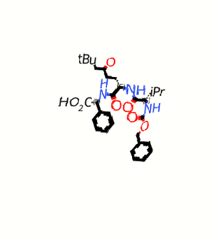 CC(C)[C@H](NC(=O)OCc1ccccc1)C(=O)N[C@@H](CCC(=O)CC(C)(C)C)C(=O)N[C@@H](C(=O)O)c1ccccc1